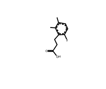 Cc1ccc(F)c(CCC(=O)O)c1C